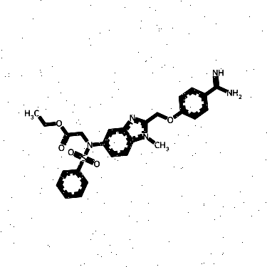 CCOC(=O)CN(c1ccc2c(c1)nc(COc1ccc(C(=N)N)cc1)n2C)S(=O)(=O)c1ccccc1